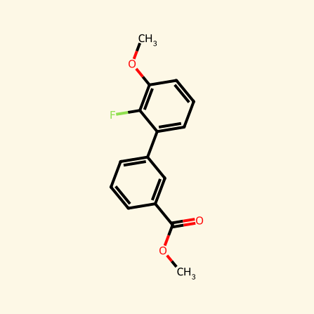 COC(=O)c1cccc(-c2cccc(OC)c2F)c1